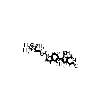 Cc1c(-c2cc3cc(Cl)ncc3n2C)ccc2c1ncn2COCC[Si](C)(C)C